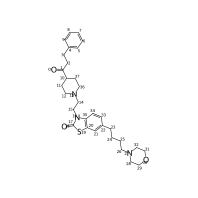 O=C(CCc1ccccc1)C1CCN(CCn2c(=O)sc3cc(CCCCN4CCOCC4)ccc32)CC1